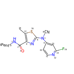 CCCCCNC(=O)c1nc(N(C#N)c2ccnc(F)c2)sc1C